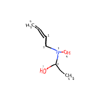 C=CCN(O)C(C)O